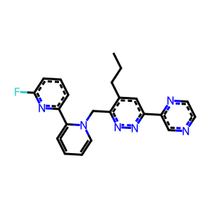 CCCc1cc(-c2cnccn2)nnc1CN1C=CC=C=C1c1cccc(F)n1